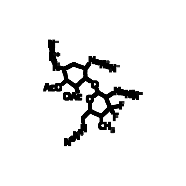 CC(=O)OC1C(N=[N+]=[N-])CC(N=[N+]=[N-])C(OC2OC(CN=[N+]=[N-])C(C)C(F)(F)C2N=[N+]=[N-])C1OC(C)=O